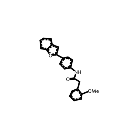 COc1ccccc1CC(=O)Nc1ccc(-c2cc3ccccc3o2)cc1